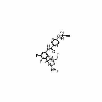 [2H]C([2H])(C#C)Oc1cnc(C(=O)Nc2cc(F)c(F)c([C@@]3(C)N=C(N)S[C@@]4(CF)C[C@H]43)c2)cn1